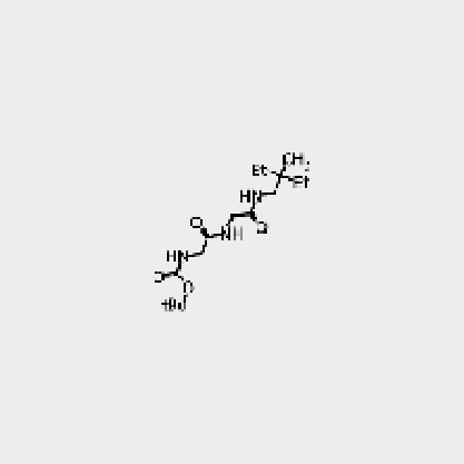 CCC(C)(CC)CNC(=O)CNC(=O)CNC(=O)OC(C)(C)C